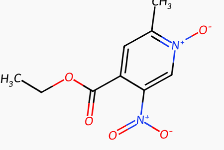 CCOC(=O)c1cc(C)[n+]([O-])cc1[N+](=O)[O-]